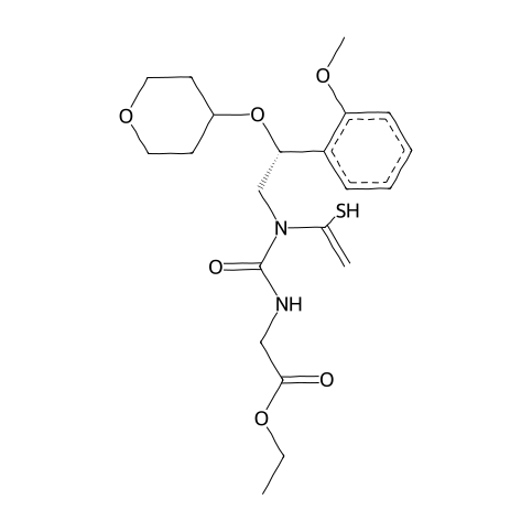 C=C(S)N(C[C@H](OC1CCOCC1)c1ccccc1OC)C(=O)NCC(=O)OCC